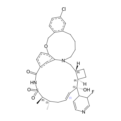 C[C@@H]1[C@@H](C)C/C=C/[C@](O)(C2C=CN=CC2F)[C@@H]2CC[C@H]2CN2CCCCc3cc(Cl)ccc3COc3ccc(cc32)C(=O)NS1(=O)=O